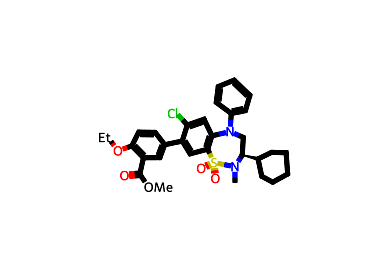 CCOc1ccc(-c2cc3c(cc2Cl)N(c2ccccc2)C[C@@H](C2CCCCC2)N(C)S3(=O)=O)cc1C(=O)OC